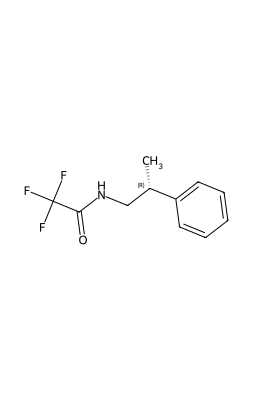 C[C@@H](CNC(=O)C(F)(F)F)c1ccccc1